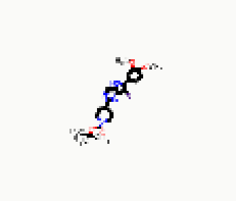 COc1ccc(-c2[nH]c3cnc(C4CCN(C(=O)OC(C)(C)C)CC4)nc3c2I)cc1OC